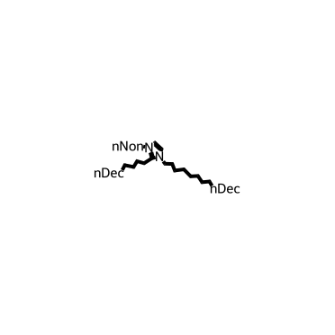 CCCCCCCCCCCCCCCCCCn1cc[n+](CCCCCCCCC)c1CCCCCCCCCCCCCC